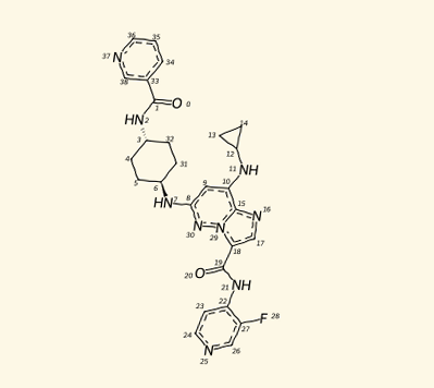 O=C(N[C@H]1CC[C@H](Nc2cc(NC3CC3)c3ncc(C(=O)Nc4ccncc4F)n3n2)CC1)c1cccnc1